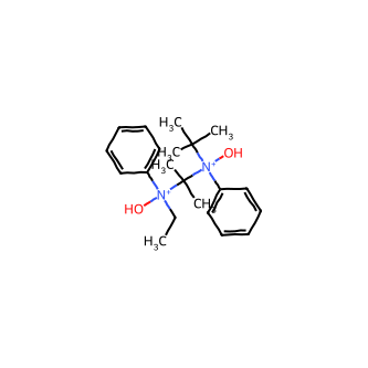 CC[N+](O)(c1ccccc1)C(C)(C)[N+](O)(c1ccccc1)C(C)(C)C